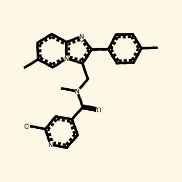 Cc1ccc(-c2nc3ccc(C)cn3c2CN(C)C(=O)c2ccnc(Cl)c2)cc1